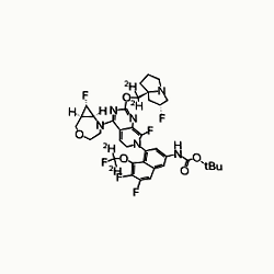 [2H]C([2H])(F)Oc1c(F)c(F)cc2cc(NC(=O)OC(C)(C)C)cc(N3CC=c4c(N5CCOC[C@H]6[C@H](F)[C@H]65)nc(OC([2H])([2H])[C@@]56CCCN5C[C@H](F)C6)nc4=C3F)c12